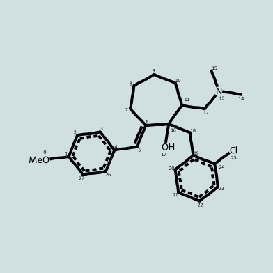 COc1ccc(/C=C2\CCCCC(CN(C)C)C2(O)Cc2ccccc2Cl)cc1